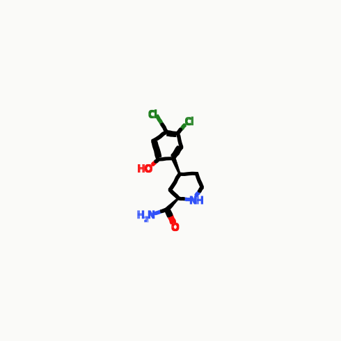 NC(=O)[C@H]1C[C@@H](c2cc(Cl)c(Cl)cc2O)CCN1